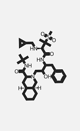 CC(C)(C)NC(=O)C1C[C@@H]2CCCC[C@@H]2CN1CC(O)C(Cc1ccccc1)NC(=O)[C@@H](NCC1CC1)C(C)(C)S(C)(=O)=O